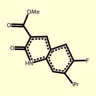 COC(=O)c1cc2cc(F)c(C(C)C)cc2[nH]c1=O